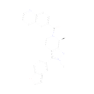 C[C@H]1c2nn(C)c(-c3ccc4occc4c3)c2CCN1C(=O)c1ccc2ncccc2c1